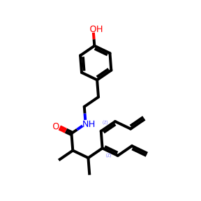 C=C/C=C\C(=C/C=C)C(C)C(C)C(=O)NCCc1ccc(O)cc1